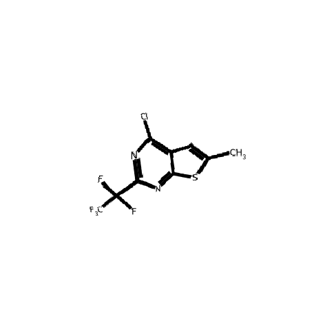 Cc1cc2c(Cl)nc(C(F)(F)C(F)(F)F)nc2s1